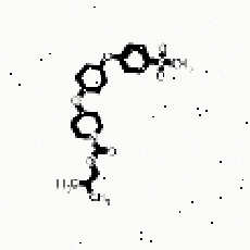 CC(C)COC(=O)N1CCC(OC2CCC(Oc3ccc(S(C)(=O)=O)cc3)CC2)CC1